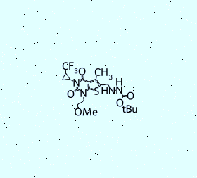 COCCn1c(=O)n(C2CC2C(F)(F)F)c(=O)c2c(C)c(CNNC(=O)OC(C)(C)C)sc21